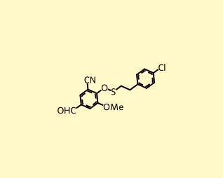 COc1cc(C=O)cc(C#N)c1OSCCc1ccc(Cl)cc1